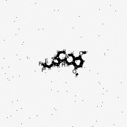 COc1ccc(OC)c2c1C[C@H]1c3cc(CC(F)(F)F)sc3CCN1C2